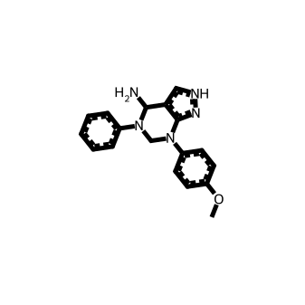 COc1ccc(N2CN(c3ccccc3)C(N)c3c[nH]nc32)cc1